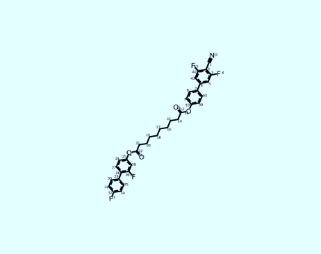 N#Cc1c(F)cc(-c2ccc(OC(=O)CCCCCCCCC(=O)Oc3ccc(-c4ccc(F)cc4)c(F)c3)cc2)cc1F